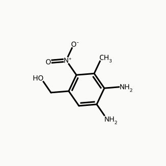 Cc1c(N)c(N)cc(CO)c1[N+](=O)[O-]